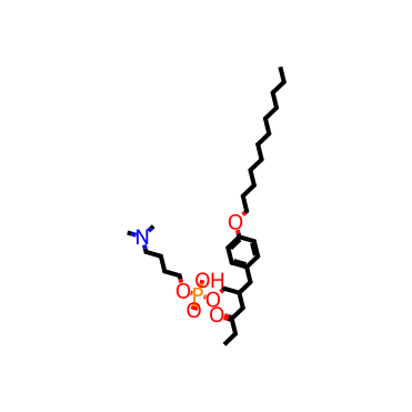 CCCCCCCCCCCCOc1ccc(CC(COP(=O)(O)OCCCCN(C)C)CC(=O)CC)cc1